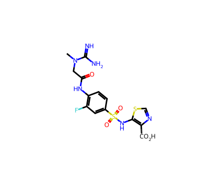 CN(CC(=O)Nc1ccc(S(=O)(=O)Nc2scnc2C(=O)O)cc1F)C(=N)N